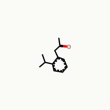 CC(=O)Cc1ccccc1C(C)C